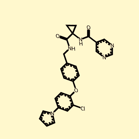 O=C(NC1(C(=O)NCc2ccc(Oc3ccc(-n4cccc4)cc3Cl)cc2)CC1)c1cncnc1